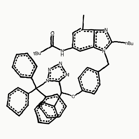 CCCCc1nc2c(C)cc(NC(=O)C(C)(C)C)cc2n1Cc1ccc(OC(c2ccccc2)c2nnnn2C(c2ccccc2)(c2ccccc2)c2ccccc2)cc1